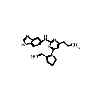 CCCc1cc(N2CCC[C@H]2CO)nc(Nc2ccc3[nH]cnc3c2)n1